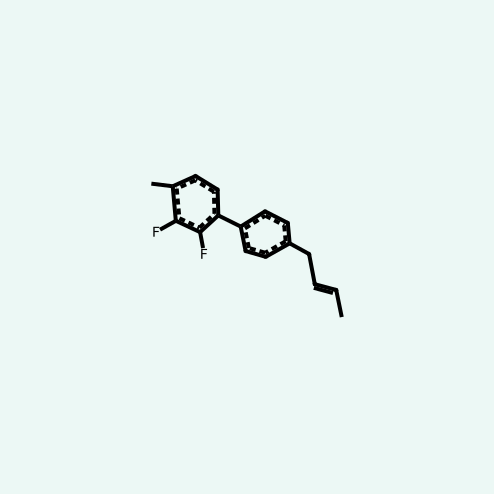 C/C=C/Cc1ccc(-c2ccc(C)c(F)c2F)cc1